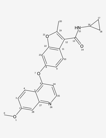 COc1ccc2c(Oc3ccc4c(C(=O)NC5CC5)c(C)oc4c3)ccnc2c1